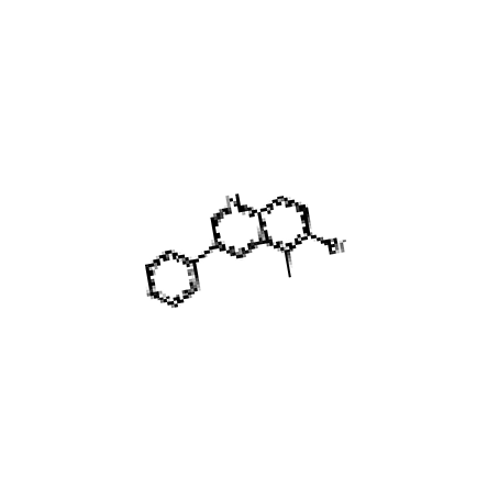 Cc1c(Br)ccc2ncc(-c3ccccc3)cc12